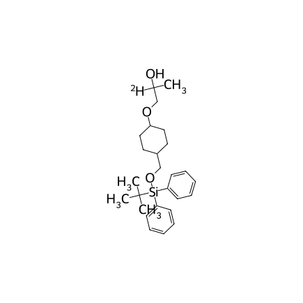 [2H]C(C)(O)COC1CCC(CO[Si](c2ccccc2)(c2ccccc2)C(C)(C)C)CC1